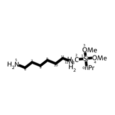 CCC[Si](C)(OC)OC.NCCCCCCN